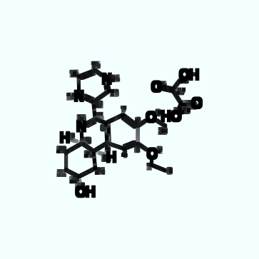 CCOc1cc2c(cc1OC)C(c1cnccn1)=N[C@@H]1CC[C@@H](O)C[C@H]21.O=C(O)C(=O)O